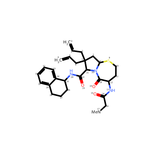 C=CCC1(CC=C)CC2SCCC(NC(=O)CNC)C(=O)N2C1C(=O)NC1CCCc2ccccc21